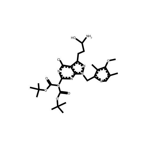 COc1c(C)cnc(Cn2nc(CCC(N)O)c3c(Cl)nc(N(C(=O)OC(C)(C)C)C(=O)OC(C)(C)C)nc32)c1C